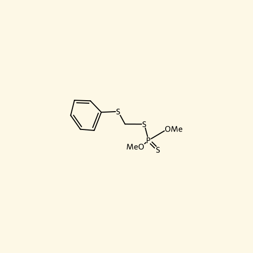 COP(=S)(OC)SCSc1ccccc1